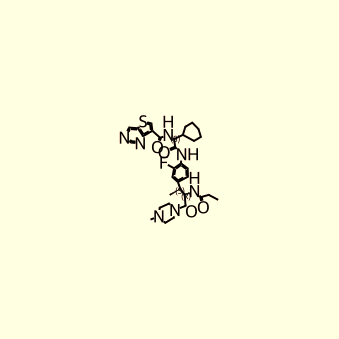 CCC(=O)N[C@@H](C(=O)N1CCN(C)CC1)[C@@H](C)c1ccc(NC(=O)[C@@H](NC(=O)c2csc3cncnc23)C2CCCCC2)c(F)c1